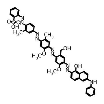 COc1cc(N=Nc2ccc(N=Nc3ccccc3S(=O)(=O)O)c(C)c2)c(C)cc1N=Nc1cc(OC)c(N=Nc2ccc3cc(Nc4ccccc4)ccc3c2O)cc1CO